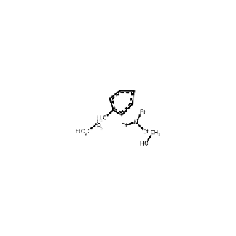 CCN(CC)CC.CCOC(C)=O.CO.Cc1ccccc1